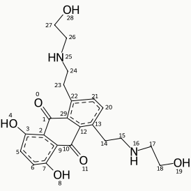 O=C1c2c(O)ccc(O)c2C(=O)c2c(CCNCCO)ccc(CCNCCO)c21